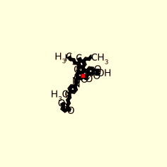 C=c1c(CCCC)cc2c(c1CCCC)Oc1cc(/N=N/c3ccc(N(C)CCCN4C(=O)C=CC4=O)cc3)ccc1C=2c1ccc(S(=O)(=O)O)cc1S(=O)(=O)O